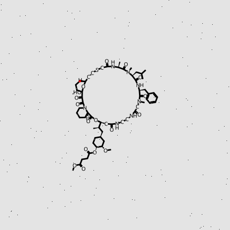 COC(=O)CCC(=O)O[C@@H]1CC[C@@H](C[C@@H](C)[C@@H]2CC(=O)NCCNC(=O)CN(C)C(=O)[C@H](Cc3ccccc3)NC(=O)[C@H](CC(C)C)N(C)C(=O)[C@H](C)NC(=O)CSCC[C@@H]3CC[C@@H](C)[C@@](O)(O3)C(=O)C(=O)N3CCCC[C@H]3C(=O)O2)C[C@H]1OC